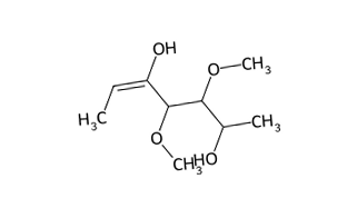 C/C=C(/O)C(OC)C(OC)C(C)O